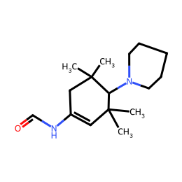 CC1(C)C=C(NC=O)CC(C)(C)C1N1CCCCC1